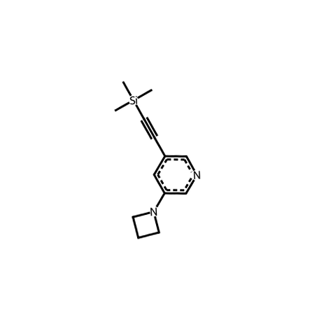 C[Si](C)(C)C#Cc1cncc(N2CCC2)c1